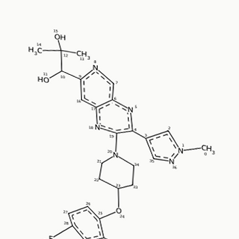 Cn1cc(-c2nc3cnc(C(O)C(C)(C)O)cc3nc2N2CCC(Oc3ccc(F)cc3F)CC2)cn1